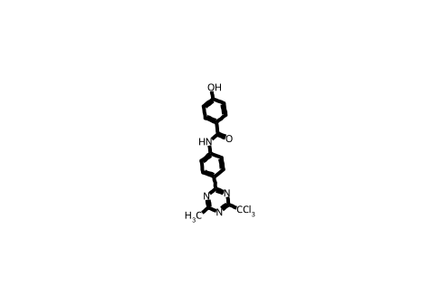 Cc1nc(-c2ccc(NC(=O)c3ccc(O)cc3)cc2)nc(C(Cl)(Cl)Cl)n1